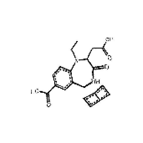 CCN1c2ccc(C(=O)O)cc2CNC(=O)C1CC(=O)O.c1cc2ccc1-2